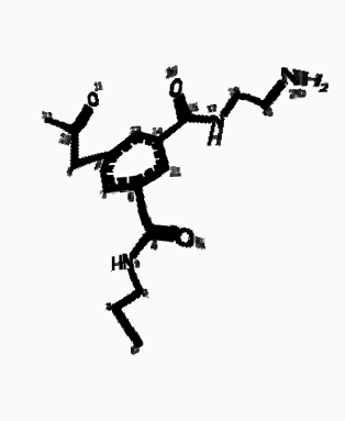 CCCNC(=O)c1cc(CC(C)=O)cc(C(=O)NCCN)c1